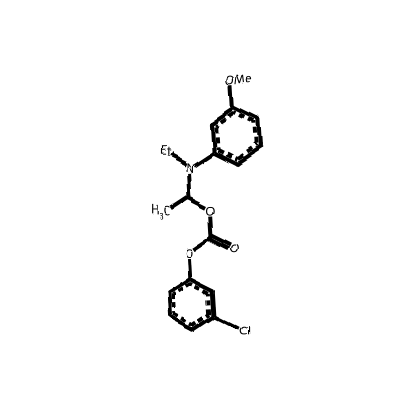 CCN(c1cccc(OC)c1)C(C)OC(=O)Oc1cccc(Cl)c1